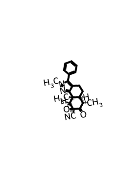 [C-]#[N+][C@@]12O[C@@H]1[C@]1(C)c3nn(C)c(-c4ccccc4)c3CC[C@H]1[C@H](C)C2=O